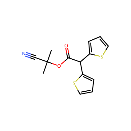 CC(C)(C#N)OC(=O)C(c1cccs1)c1cccs1